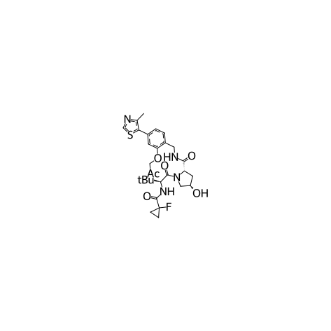 CC(=O)COc1cc(-c2scnc2C)ccc1CNC(=O)[C@@H]1C[C@@H](O)CN1C(=O)[C@@H](NC(=O)C1(F)CC1)C(C)(C)C